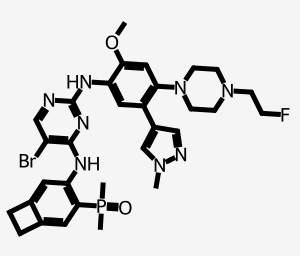 COc1cc(N2CCN(CCF)CC2)c(-c2cnn(C)c2)cc1Nc1ncc(Br)c(Nc2cc3c(cc2P(C)(C)=O)CC3)n1